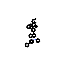 C=C/C=C\C1=C(C)C2(c3ccccc3-c3cc(-c4ccc(N(c5ccccc5)c5ccc(-c6ccccc6)cc5)c5ccccc45)ccc32)c2ccccc2C1(C)C